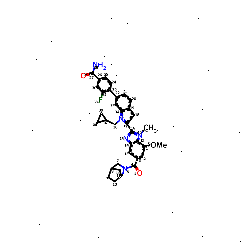 COc1cc(C(=O)N2CC3CCC2C3)cc2nc(-c3cc4ccc(-c5ccc(C(N)=O)cc5F)cc4n3CC3CC3)n(C)c12